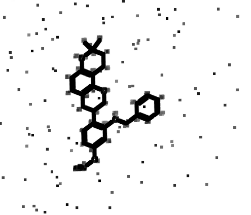 CCCCOc1ccc(C2COc3c(ccc4c3CCC(C)(C)O4)C2)c(OCc2ccccc2)c1